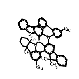 CC(C)(C)c1ccc(N2c3cc4c(c5c3B(c3c2ccc2c3sc3ccccc32)N2c3c-5cc(C(C)(C)C)cc3C3(C)CCCCC23C)C(C)(C)c2ccccc2-4)c(-c2ccccc2)c1